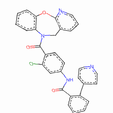 O=C(Nc1ccc(C(=O)N2Cc3cccnc3Oc3ccccc32)c(Cl)c1)c1ccccc1-c1ccncc1